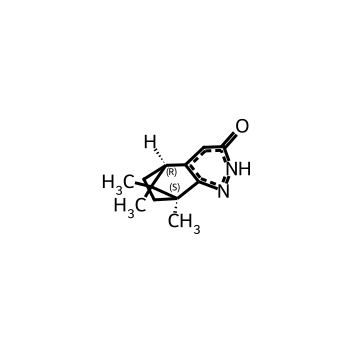 CC1(C)[C@H]2CC[C@]1(C)c1n[nH]c(=O)cc12